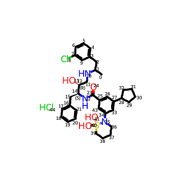 CC(Cc1cccc(Cl)c1)NC[C@@H](O)[C@H](Cc1ccccc1)NC(=O)c1cc(C2CCCC2)cc(N2CCCCS2(O)O)c1.Cl